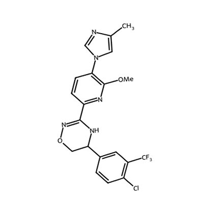 COc1nc(C2=NOCC(c3ccc(Cl)c(C(F)(F)F)c3)N2)ccc1-n1cnc(C)c1